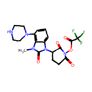 Cn1c(=O)n(C2CCC(=O)N(OC(=O)C(F)(F)F)C2=O)c2cccc(N3CCNCC3)c21